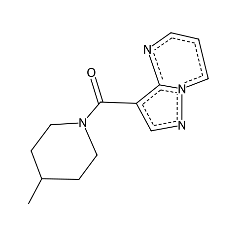 CC1CCN(C(=O)c2cnn3cccnc23)CC1